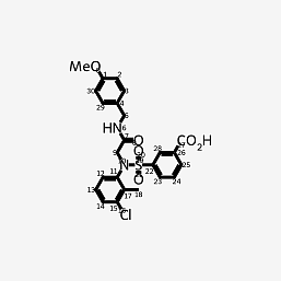 COc1ccc(CNC(=O)CN(c2cccc(Cl)c2C)S(=O)(=O)c2cccc(C(=O)O)c2)cc1